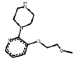 COCCOc1cccnc1N1CCNCC1